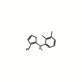 Cc1cccc([SiH2]C2=C(C(C)C)C=CC2)c1C